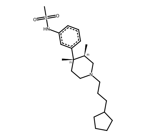 C[C@H]1CN(CCCC2CCCC2)CC[C@]1(C)c1cccc(NS(C)(=O)=O)c1